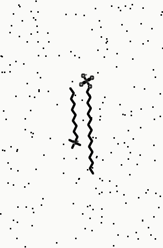 CCCCCCCCCCCCCCCCOS(=O)(=O)[O-].CCCCCCCCCC[N+](C)(C)C